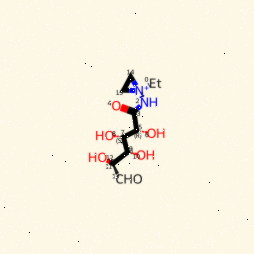 [CH2]C[N+]1(NC(=O)[C@H](O)[C@@H](O)[C@H](O)[C@H](O)C=O)CC1